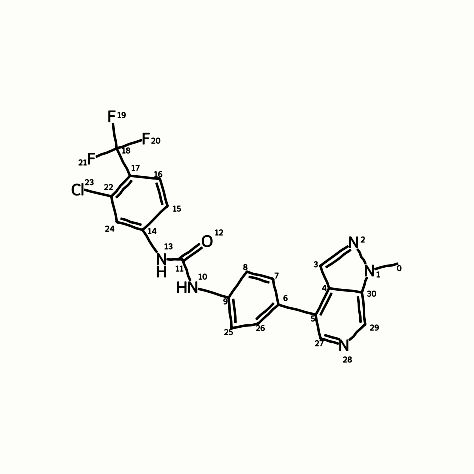 Cn1ncc2c(-c3ccc(NC(=O)Nc4ccc(C(F)(F)F)c(Cl)c4)cc3)cncc21